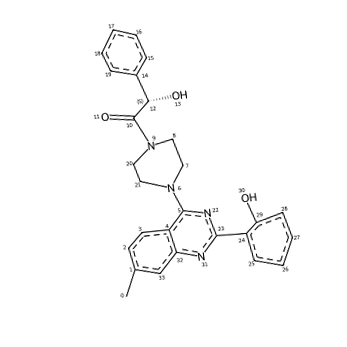 Cc1ccc2c(N3CCN(C(=O)[C@@H](O)c4ccccc4)CC3)nc(-c3ccccc3O)nc2c1